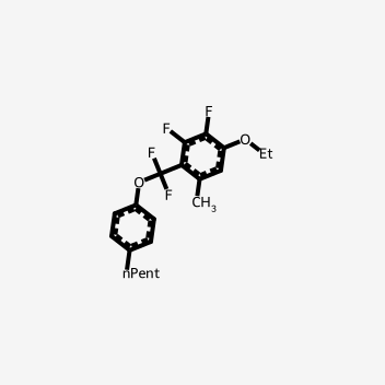 CCCCCc1ccc(OC(F)(F)c2c(C)cc(OCC)c(F)c2F)cc1